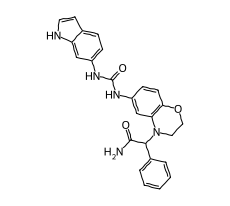 NC(=O)C(c1ccccc1)N1CCOc2ccc(NC(=O)Nc3ccc4cc[nH]c4c3)cc21